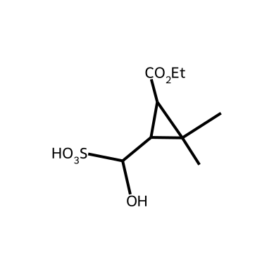 CCOC(=O)C1C(C(O)S(=O)(=O)O)C1(C)C